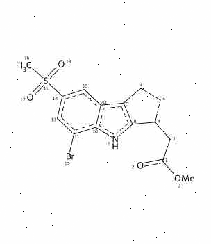 COC(=O)CC1CCc2c1[nH]c1c(Br)cc(S(C)(=O)=O)cc21